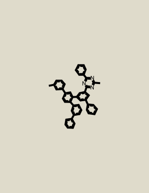 Cc1cccc(-c2ccc(-c3cccc(-c4ccccc4)c3)c(-c3cc(-c4ccccc4)cc(-c4nc(C)nc(-c5ccccc5)n4)c3)c2)c1